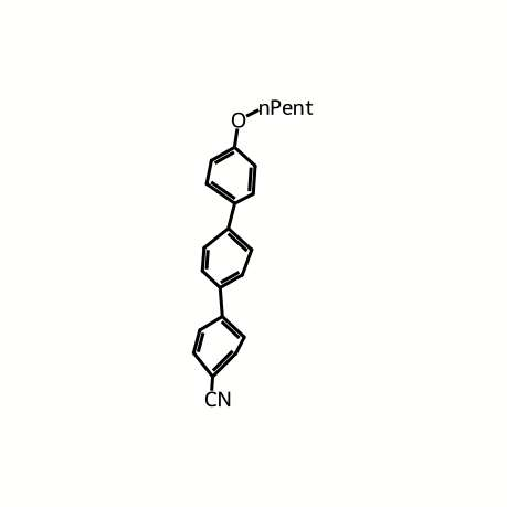 CCCCCOc1ccc(-c2ccc(-c3ccc(C#N)cc3)cc2)cc1